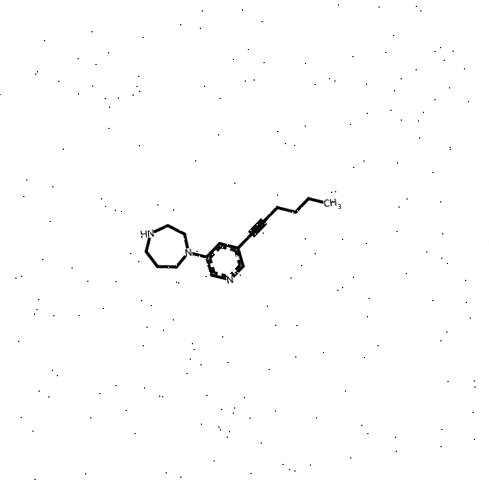 CCCCC#Cc1cncc(N2CCCNCC2)c1